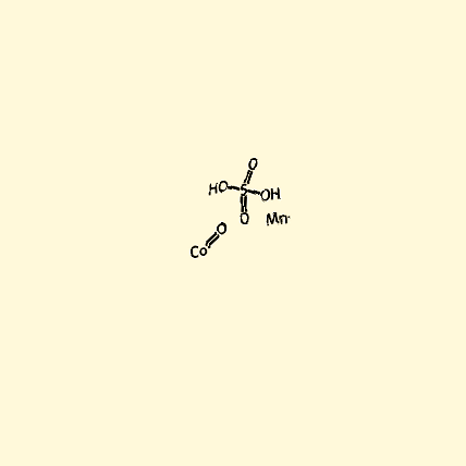 O=S(=O)(O)O.[Mn].[O]=[Co]